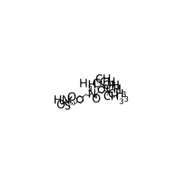 CC(C)(C)c1cc(C(=O)NCCc2ccc(C[C@@H]3SC(=O)NC3=O)cc2)cc(C(C)(C)C)c1O